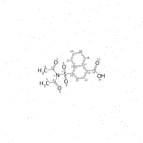 CC(=O)N(C(C)=O)S(=O)(=O)c1ccc(C(=O)O)c2ccccc12